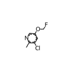 Cc1ncc(OCF)cc1Cl